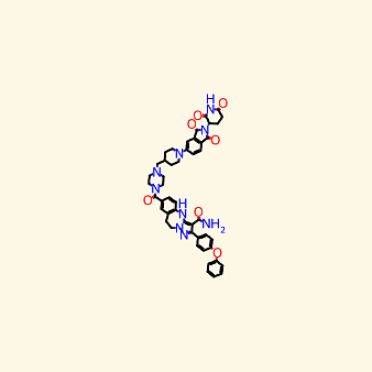 NC(=O)c1c(-c2ccc(Oc3ccccc3)cc2)nn2c1Nc1ccc(C(=O)N3CCN(CC4CCN(c5ccc6c(c5)C(=O)N(C5CCC(=O)NC5=O)C6=O)CC4)CC3)cc1CC2